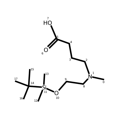 CN(CCCC(=O)O)CCO[Si](C)(C)C(C)(C)C